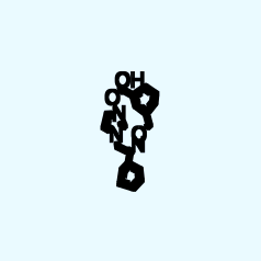 O=C(O)c1cccc(CO/N=C(\Cn2ccnc2)c2ccccc2)c1